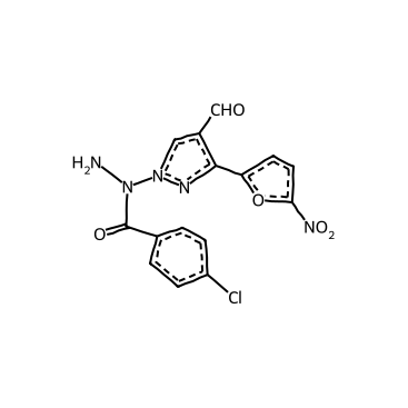 NN(C(=O)c1ccc(Cl)cc1)n1cc(C=O)c(-c2ccc([N+](=O)[O-])o2)n1